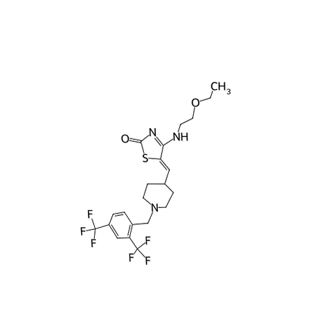 CCOCCNC1=NC(=O)S/C1=C\C1CCN(Cc2ccc(C(F)(F)F)cc2C(F)(F)F)CC1